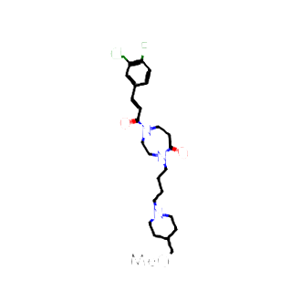 COCC1CCN(CCCCN2CCN(C(=O)/C=C/c3ccc(F)c(Cl)c3)CCC2=O)CC1